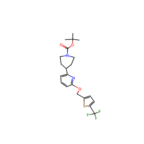 CC(C)(C)OC(=O)N1CCC(c2cccc(OCc3ccc(C(F)(F)F)s3)n2)CC1